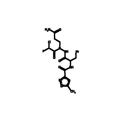 Cc1cc(C(=O)NC(CC(C)C)C(=O)NN(CCC(N)=O)C(=O)C(F)Cl)no1